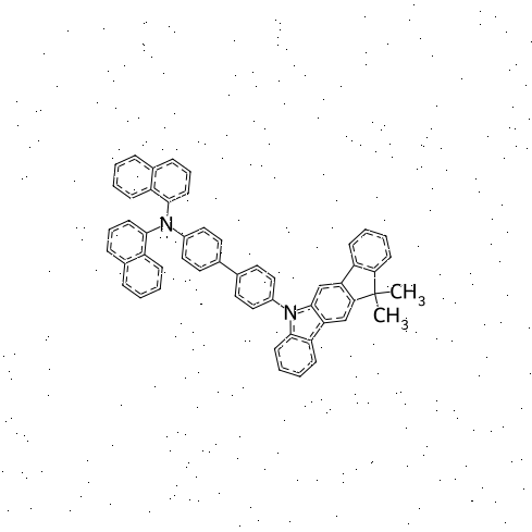 CC1(C)c2ccccc2-c2cc3c(cc21)c1ccccc1n3-c1ccc(-c2ccc(N(c3cccc4ccccc34)c3cccc4ccccc34)cc2)cc1